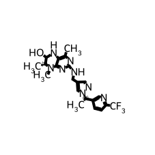 Cc1nc(NCc2cnn([C@H](C)c3ccc(C(F)(F)F)nc3)c2)nc2c1NC(O)[C@H](C)N2C